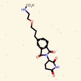 O=C(O)NCCOCCCc1ccc2c(c1)C(=O)N(C1CCC(=O)NC1=O)C2=O